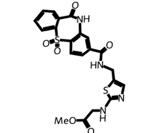 COC(=O)CNc1ncc(CNC(=O)c2ccc3c(c2)NC(=O)c2ccccc2S3(=O)=O)s1